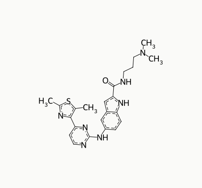 Cc1nc(-c2ccnc(Nc3ccc4[nH]c(C(=O)NCCCN(C)C)cc4c3)n2)c(C)s1